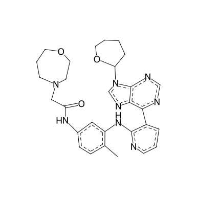 Cc1ccc(NC(=O)CN2CCCOCC2)cc1Nc1ncccc1-c1ncnc2c1ncn2C1CCCCO1